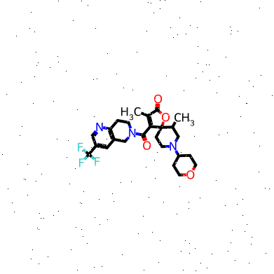 CC1=C(C(=O)N2CCc3ncc(C(F)(F)F)cc3C2)C2(CCN(C3CCOCC3)CC2C)OC1=O